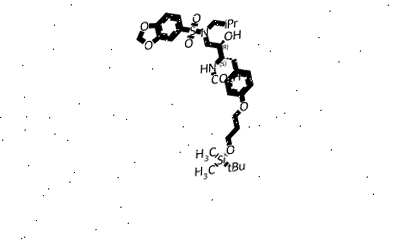 CC(C)CN(C[C@@H](O)[C@H](Cc1ccc(OCCCO[Si](C)(C)C(C)(C)C)cc1)NC(=O)O)S(=O)(=O)c1ccc2c(c1)OCO2